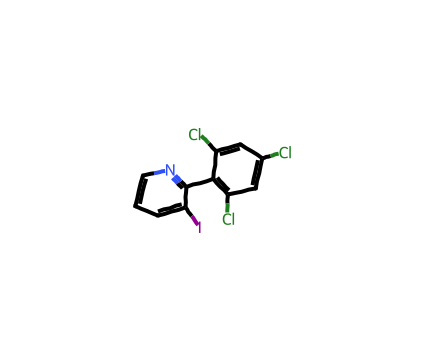 Clc1cc(Cl)c(-c2ncccc2I)c(Cl)c1